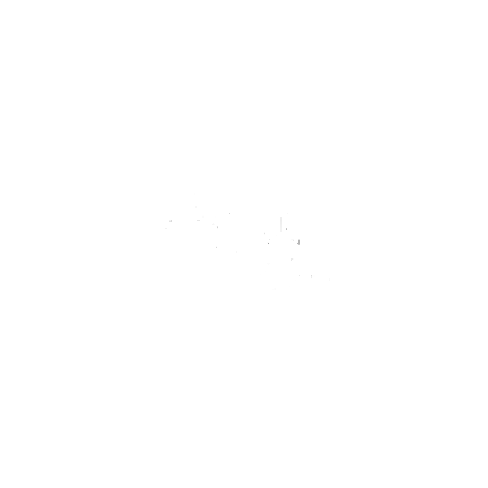 Cc1cccc2c1[nH]c(=O)n2C1CCN(C(=O)OC(C)(C)C)CC1